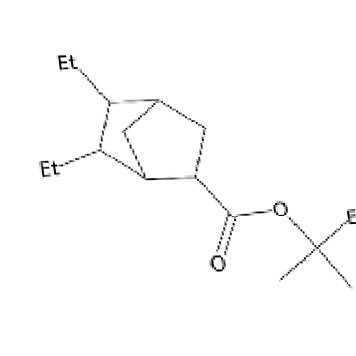 CCC1C2CC(C(=O)OC(C)(C)CC)C(C2)C1CC